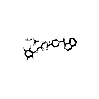 CCCCOC(=O)C[C@H](NC(=O)C1CCN(C(=O)c2nccc3ccccc23)CC1)C(=O)COc1c(F)c(F)cc(F)c1F